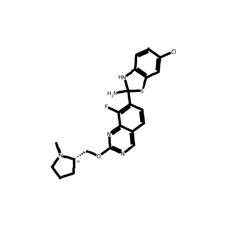 CN1CCC[C@H]1COc1ncc2ccc(C3(N)Nc4ccc(Cl)cc4S3)c(F)c2n1